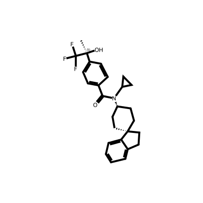 C[C@](O)(c1ccc(C(=O)N(C2CC2)[C@H]2CC[C@@]3(CCc4ccccc43)CC2)cc1)C(F)(F)F